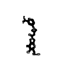 COCc1nc2c(c(C)c1Cl)CN(C(=O)CC1CN(c3ccnc(C(F)F)c3)C1)C2